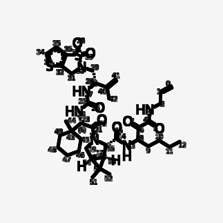 C=CCNC(=O)C(=O)C(CCCC)NC(=O)[C@@H]1[C@@H]2[C@H](CN1C(=O)[C@@H](NC(=O)N[C@H](CN1Cc3sccc3S1(=O)=O)C(=C)C)C1(C)CCCCC1)C2(C)C